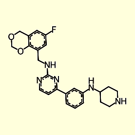 Fc1cc(CNc2nccc(-c3cccc(NC4CCNCC4)c3)n2)c2c(c1)COCO2